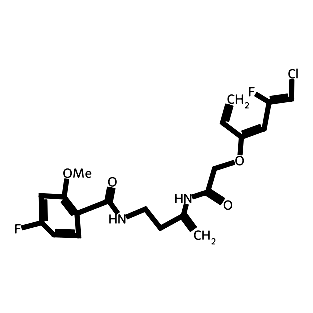 C=C/C(=C\C(F)=C\Cl)OCC(=O)NC(=C)CCNC(=O)c1ccc(F)cc1OC